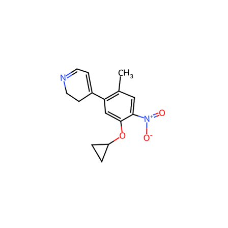 Cc1cc([N+](=O)[O-])c(OC2CC2)cc1C1=CC=NCC1